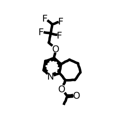 CC(=O)OC1CCCCc2c(OCC(F)(F)C(F)F)ccnc21